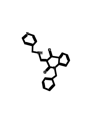 O=C1/C(=C\NCc2ccncc2)C(=O)N(Cc2ccccc2)c2ccccc21